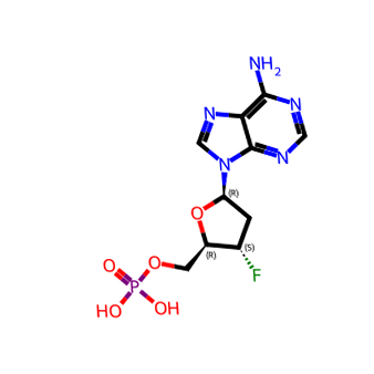 Nc1ncnc2c1ncn2[C@H]1C[C@H](F)[C@@H](COP(=O)(O)O)O1